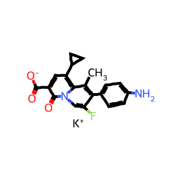 Cc1c(-c2ccc(N)cc2)c(F)cn2c(=O)c(C(=O)[O-])cc(C3CC3)c12.[K+]